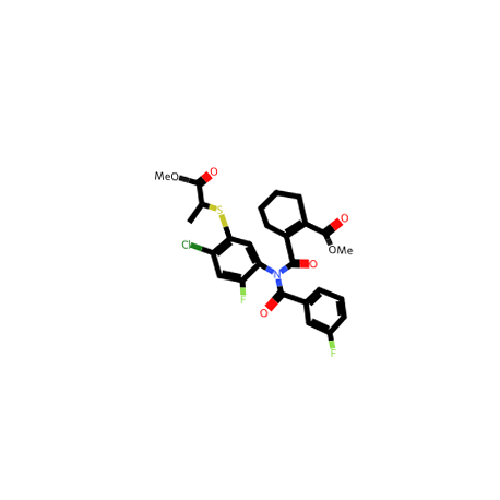 COC(=O)C1=C(C(=O)N(C(=O)c2cccc(F)c2)c2cc(SC(C)C(=O)OC)c(Cl)cc2F)CCCC1